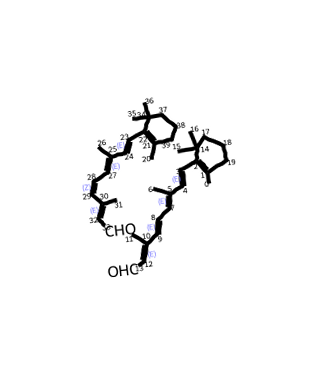 CC1=C(/C=C/C(C)=C/C=C/C(C)=C/C=O)C(C)(C)CCC1.CC1=C(/C=C/C(C)=C/C=C\C(C)=C\C=O)C(C)(C)CCC1